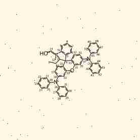 CCC(C)C1(c2ccccc2/C(C)=C/O)c2ccc(N(c3ccccc3)c3ccccc3)cc2Oc2cc(N(c3ccccc3)c3ccccc3)ccc21